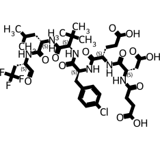 CC(C)C[C@H](NC(=O)[C@@H](NC(=O)[C@H](Cc1ccc(Cl)cc1)NC(=O)[C@H](CCC(=O)O)NC(=O)[C@H](CC(=O)O)NC(=O)CCC(=O)O)C(C)(C)C)C(=O)N[C@H](C=O)CC(F)(F)F